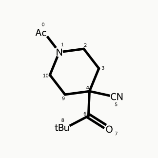 CC(=O)N1CCC(C#N)(C(=O)C(C)(C)C)CC1